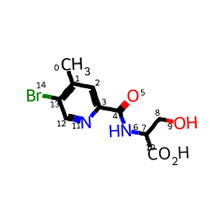 Cc1cc(C(=O)NC(CO)C(=O)O)ncc1Br